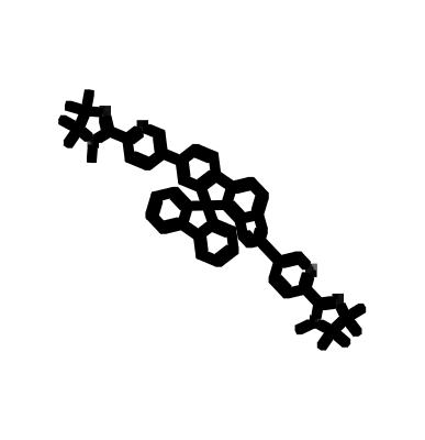 CN1C(c2ccc(-c3ccc4c(c3)C3(c5ccccc5-c5ccccc53)c3c-4ccc4cc(-c5ccc(C6=NC(C)(C)C(C)(C)N6C)nc5)ccc34)cn2)=NC(C)(C)C1(C)C